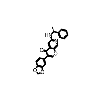 C[C@H](Nc1cc2c(=O)c(-c3ccc4c(c3)OCO4)coc2cn1)c1ccccc1